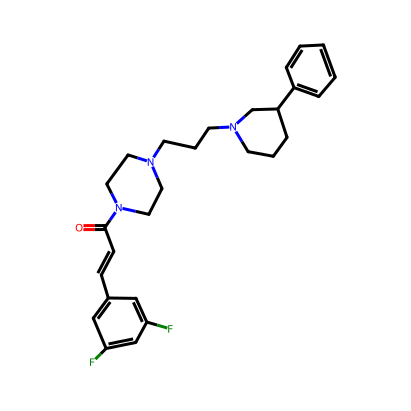 O=C(/C=C/c1cc(F)cc(F)c1)N1CCN(CCCN2CCCC(c3ccccc3)C2)CC1